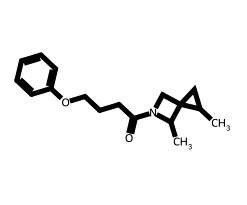 CC1CC12CN(C(=O)CCCOc1ccccc1)C2C